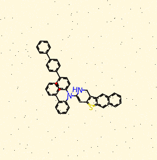 C1=C(N(c2ccc(-c3ccc(-c4ccccc4)cc3)cc2)c2ccccc2-c2ccccc2)NCc2c1sc1cc3ccccc3cc21